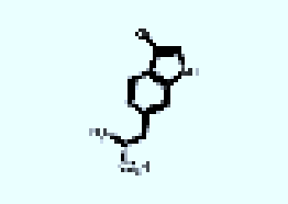 N[C@@H](Cc1ccc2c(Cl)c[nH]c2c1)C(=O)O